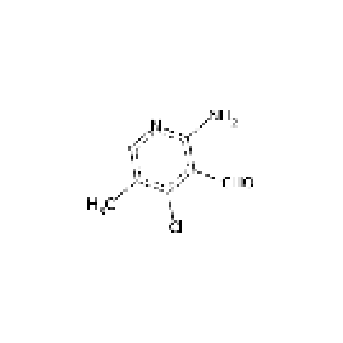 Cc1cnc(N)c(C=O)c1Cl